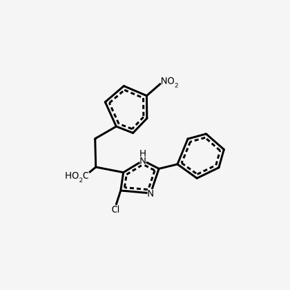 O=C(O)C(Cc1ccc([N+](=O)[O-])cc1)c1[nH]c(-c2ccccc2)nc1Cl